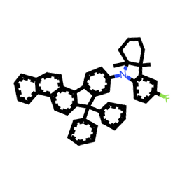 CC12CCCCC1(C)N(c1ccc3c(c1)C(c1ccccc1)(c1ccccc1)c1ccc4c(ccc5ccccc54)c1-3)c1ccc(F)cc12